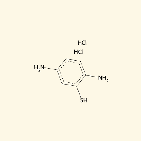 Cl.Cl.Nc1ccc(N)c(S)c1